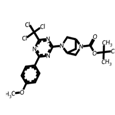 COc1ccc(-c2nc(N3CC4CC3CN4C(=O)OC(C)(C)C)nc(C(Cl)(Cl)Cl)n2)cc1